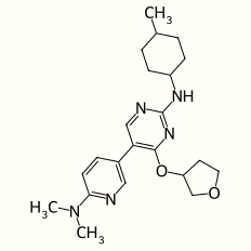 CC1CCC(Nc2ncc(-c3ccc(N(C)C)nc3)c(OC3CCOC3)n2)CC1